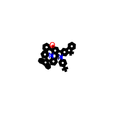 CC(C)(C)c1ccc(N2B3c4cccc5c4N(c4ccccc4C54c5ccccc5-c5ccccc54)c4c3c(cc3oc5ccccc5c43)-c3cc4c(cc32)C(C)(C)c2ccccc2-4)cc1